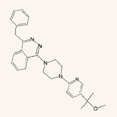 COC(C)(C)c1ccc(N2CCN(c3nnc(Cc4ccccc4)c4ccccc34)CC2)nc1